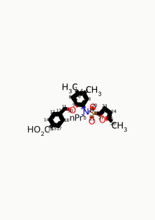 CCCN(c1cc(C)c(C)cc1OCc1ccc(C(=O)O)cc1)S(=O)(=O)c1ccc(C)o1